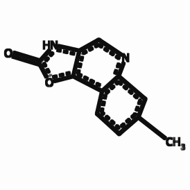 Cc1ccc2c(c1)ncc1[nH]c(=O)oc12